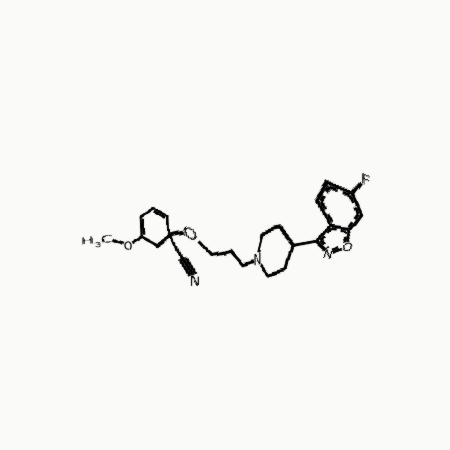 COC1=CC=CC(C#N)(OCCCN2CCC(c3noc4cc(F)ccc34)CC2)C1